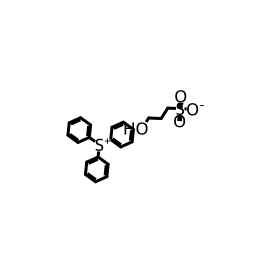 O=S(=O)([O-])CCCO.c1ccc([S+](c2ccccc2)c2ccccc2)cc1